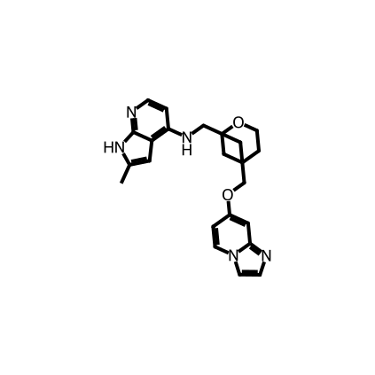 Cc1cc2c(NCC34CC(COc5ccn6ccnc6c5)(CCO3)C4)ccnc2[nH]1